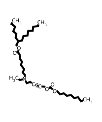 CCCCCCCCCOC(=O)OCCCCCCN(CC)CCCCCCCC(=O)OCC(CCCCCC)CCCCCCCC